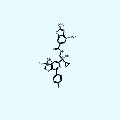 COc1cc(C(=O)NC[C@](O)(c2cc3c(c(-c4ccc(F)cc4)n2)OC[C@@]3(N)C(F)(F)F)C2CC2)cc2oc(N)nc12